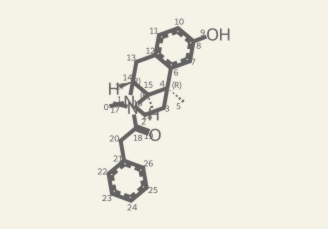 CN1CC[C@]2(C)c3cc(O)ccc3C[C@@H]1[C@@H]2N(C)C(=O)Cc1ccccc1